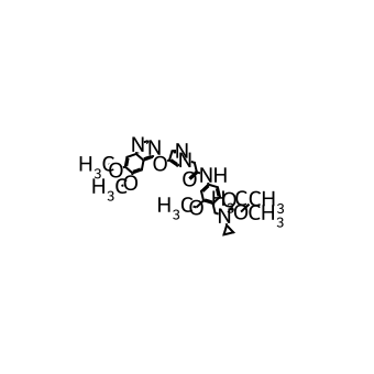 COc1cc(NC(=O)Cn2cc(Oc3ncnc4cc(OC)c(OC)cc34)cn2)ccc1CN(C(=O)OC(C)(C)C)C1CC1